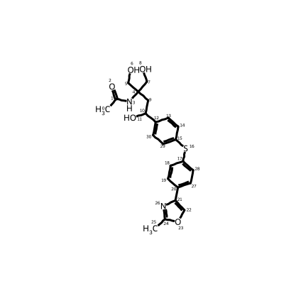 CC(=O)NC(CO)(CO)CC(O)c1ccc(Sc2ccc(-c3coc(C)n3)cc2)cc1